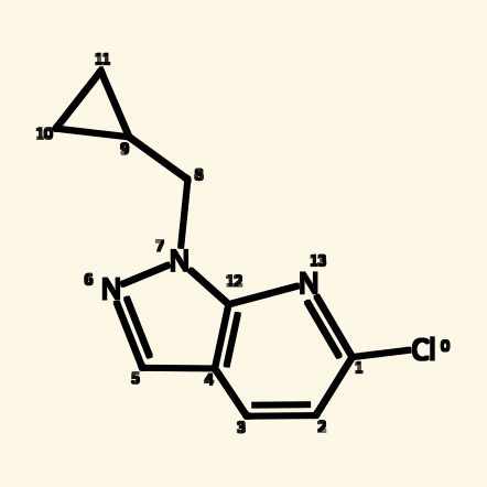 Clc1ccc2cnn(CC3CC3)c2n1